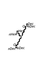 CCCCCCCCCCN(CCCCCCCCCC)C(=O)CCCCCN(CCCCCC(=O)N(CCCCCCCCCC)CCCCCCCCCC)CCN(CCCCCC)CCCCCC